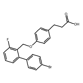 O=C(O)CCc1ccc(OCc2c(F)cccc2-c2ccc(Br)cc2)cc1